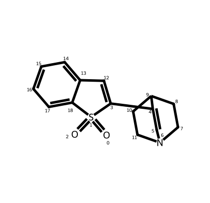 O=S1(=O)C(C2=CN3CCC2CC3)=Cc2ccccc21